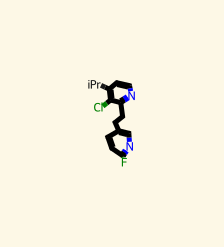 CC(C)c1ccnc(CCc2ccc(F)nc2)c1Cl